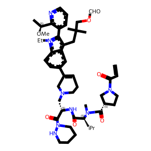 C=CC(=O)N1CC[C@H](C(=O)N(C)[C@H](C(=O)N[C@@H](CN2CCC=C(c3ccc4c(c3)c(CC(C)(C)COC=O)c(-c3cccnc3[C@H](C)OC)n4CC)C2)C(=O)N2CCCCN2)C(C)C)C1